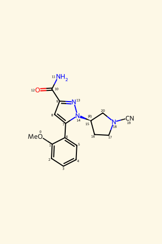 COc1ccccc1-c1cc(C(N)=O)nn1[C@@H]1CCN(C#N)C1